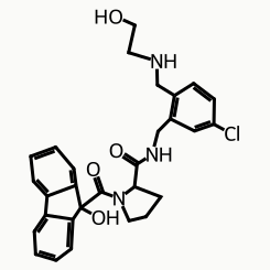 O=C(NCc1cc(Cl)ccc1CNCCO)C1CCCN1C(=O)C1(O)c2ccccc2-c2ccccc21